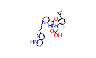 O=C(O)CC(NC(=O)[C@@H]1CCCN(CCCc2ccc3c(n2)NCCC3)C1)c1cc(C2CC2)ccc1F